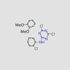 COc1ccccc1OC.Clc1nc(Cl)nc(Nc2ccccc2Cl)n1